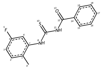 Cc1ccc(F)cc1NC(=S)NC(=O)c1ccccc1